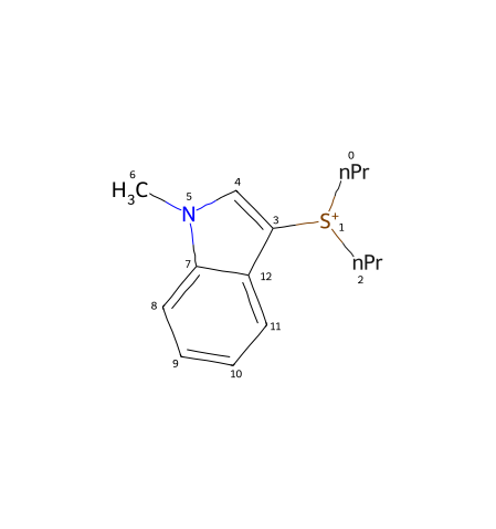 CCC[S+](CCC)c1cn(C)c2ccccc12